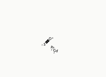 O=S.[Gd].[Pr]